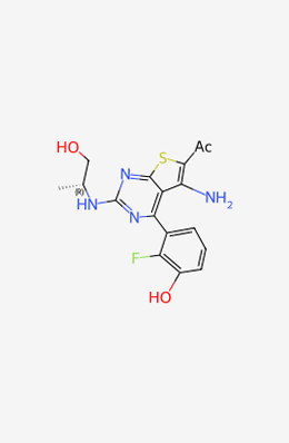 CC(=O)c1sc2nc(N[C@H](C)CO)nc(-c3cccc(O)c3F)c2c1N